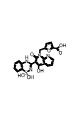 O=C(O)c1ccc(Cn2c(=O)c(C3=NS(O)(O)c4ccccc4N3)c(O)c3cccnc32)o1